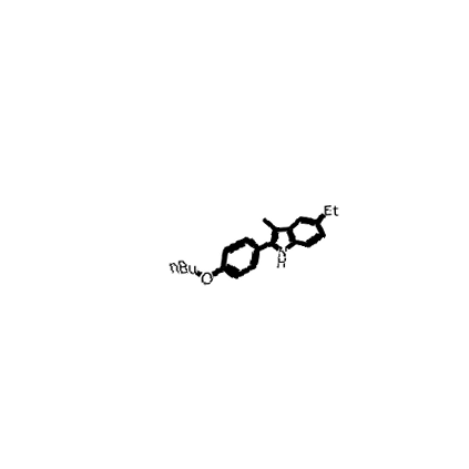 CCCCOc1ccc(-c2[nH]c3ccc(CC)cc3c2C)cc1